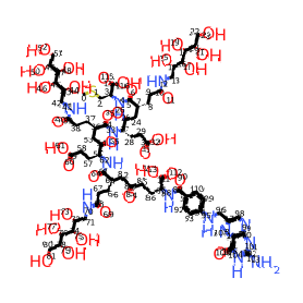 CSC[C@H](NC(=O)[C@H](CCC(=O)NC[C@H](O)[C@@H](O)[C@H](O)[C@H](O)CO)CC(=O)[C@H](CCC(=O)O)NC(=O)[C@H](CCC(=O)NC[C@H](O)[C@@H](O)[C@H](O)[C@H](O)CO)CC(=O)[C@H](CCC(=O)O)NC(=O)[C@H](CCC(=O)NC[C@H](O)[C@@H](O)[C@H](O)[C@H](O)CO)CC(=O)CC[C@H](NC(=O)c1ccc(NCc2cnc3nc(N)[nH]c(=O)c3n2)cc1)C(=O)O)C(=O)O